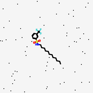 CCCCCCCCCCCCNS(=O)(=O)c1cccc(C(F)(F)F)c1